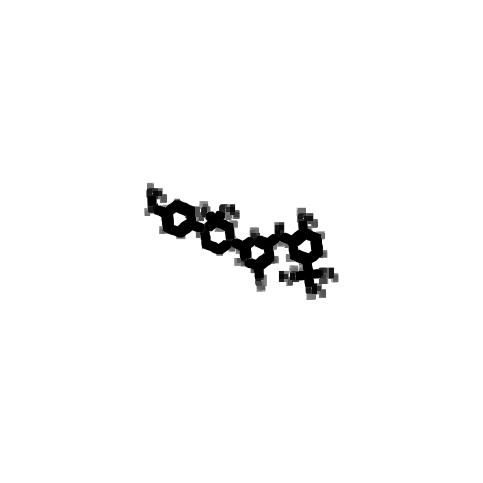 COc1ccc(N2CCN(c3nc(Cl)cc(Nc4cc(C(C)(C)C)ccc4C)n3)CC2(C)C)cc1